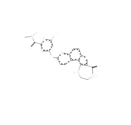 C[C@@H]1CNc2c(oc3ccc4nc(Oc5cc(Cl)nc(C(=O)N(C)C)n5)ccc4c23)C(=O)N1